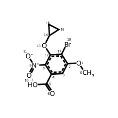 COc1cc(C(=O)O)c([N+](=O)[O-])c(OC2CC2)c1Br